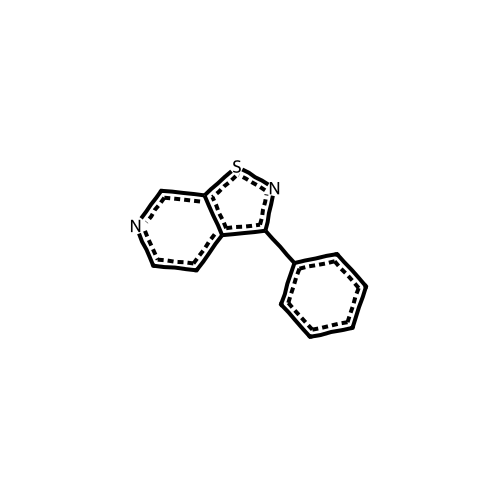 c1ccc(-c2nsc3cnccc23)cc1